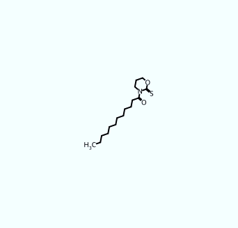 CCCCCCCCCCCC(=O)N1CCCOC1=S